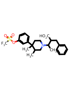 CC(C(Cc1ccccc1)C(=O)O)N1CCC(C)(c2cccc(OS(=O)(=O)C(F)(F)F)c2)C(C)C1